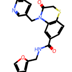 O=C(NCc1ccco1)c1ccc2c(c1)N(Cc1cccnc1)C(=O)CS2